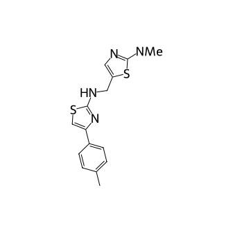 CNc1ncc(CNc2nc(-c3ccc(C)cc3)cs2)s1